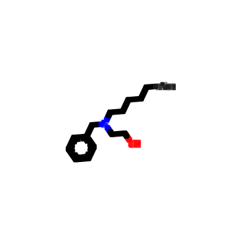 CCCCCCCCCCCCCCN(CCO)Cc1ccccc1